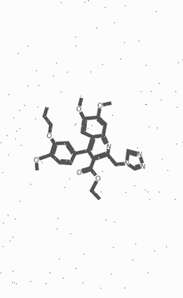 CCCOc1cc(-c2c(C(=O)OCC)c(Cn3cnnc3)nc3cc(OC)c(OC)cc23)ccc1OC